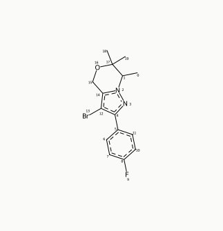 CC1n2nc(-c3ccc(F)cc3)c(Br)c2COC1(C)C